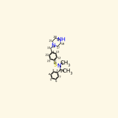 C[C@@H](c1ccccc1)N(C)Sc1ccc(CN2CCNCC2)cc1